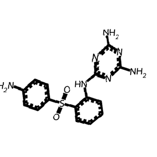 Nc1ccc(S(=O)(=O)c2ccccc2Nc2nc(N)nc(N)n2)cc1